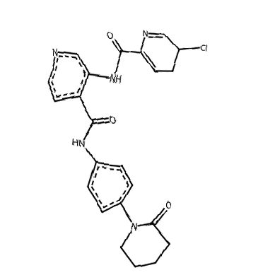 O=C(Nc1cnccc1C(=O)Nc1ccc(N2CCCCC2=O)cc1)C1=CCC(Cl)C=N1